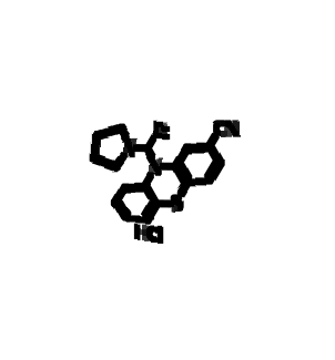 CCC(N1CCCC1)N1c2ccccc2Sc2ccc(C#N)cc21.Cl